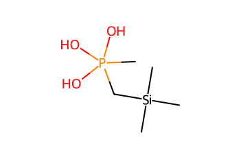 C[Si](C)(C)CP(C)(O)(O)O